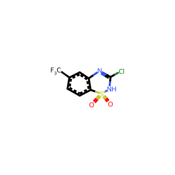 O=S1(=O)NC(Cl)=Nc2cc(C(F)(F)F)ccc21